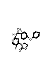 CC(Nc1ncc(F)c(N2CCOC2=O)n1)c1ccc(Oc2ccccc2)cc1